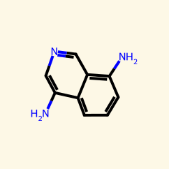 Nc1cncc2c(N)cccc12